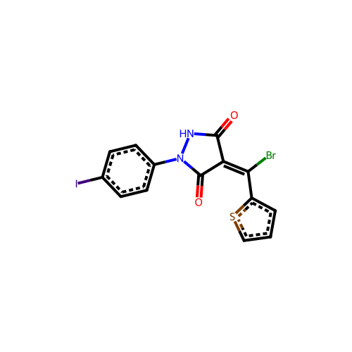 O=C1NN(c2ccc(I)cc2)C(=O)C1=C(Br)c1cccs1